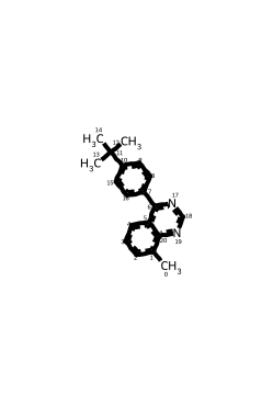 Cc1cccc2c(-c3ccc(C(C)(C)C)cc3)ncnc12